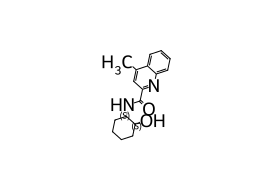 Cc1cc(C(=O)N[C@H]2CCCC[C@@H]2O)nc2ccccc12